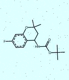 CC(C)(C)OC(=O)NC1CC(C)(C)Oc2cc(F)ccc21